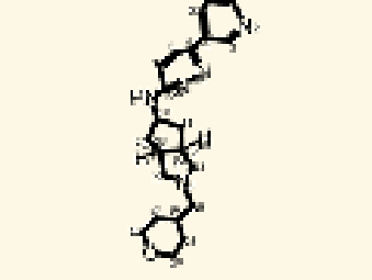 c1cncc(-c2ccc(NC3C[C@@H]4CN(CC5CCOCC5)C[C@@H]4C3)nn2)c1